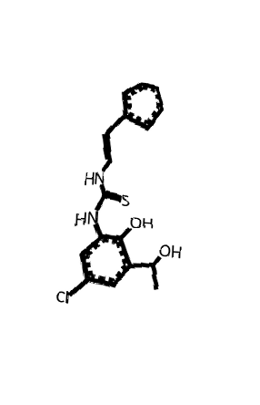 CC(O)c1cc(Cl)cc(NC(=S)NC=Cc2ccccc2)c1O